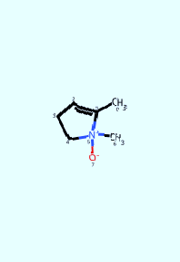 CC1=CCC[N+]1(C)[O-]